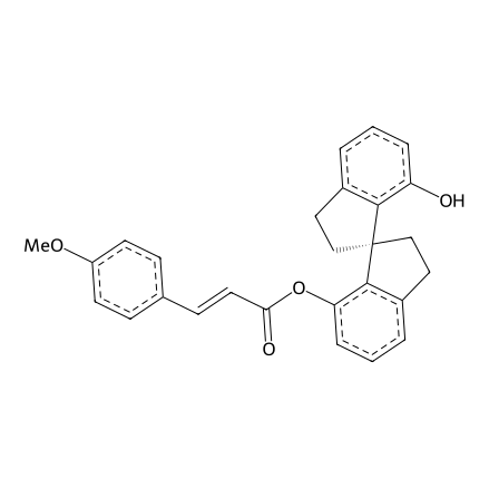 COc1ccc(/C=C/C(=O)Oc2cccc3c2[C@]2(CCc4cccc(O)c42)CC3)cc1